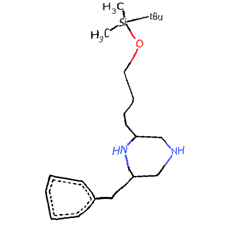 CC(C)(C)[Si](C)(C)OCCCC1CNCC(Cc2ccccc2)N1